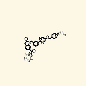 CCNC(=O)c1ccc2c(c1)N(Cc1cccc(-c3ncc(OCC4CCN(C)CC4)cn3)c1)C(=O)C2